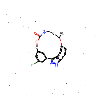 CCC1CCNC(=O)OCc2cc(F)cc(c2)-c2n[nH]c3ccc(cc23)O1